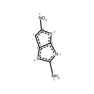 Nc1nc2sc([N+](=O)[O-])cc2s1